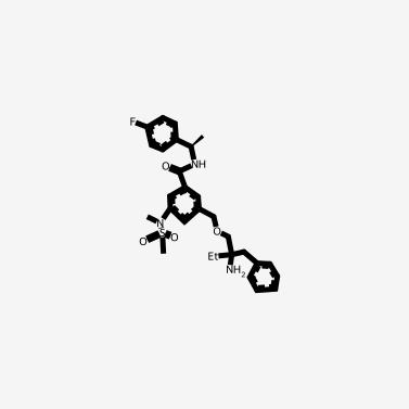 CCC(N)(COCc1cc(C(=O)N[C@H](C)c2ccc(F)cc2)cc(N(C)S(C)(=O)=O)c1)Cc1ccccc1